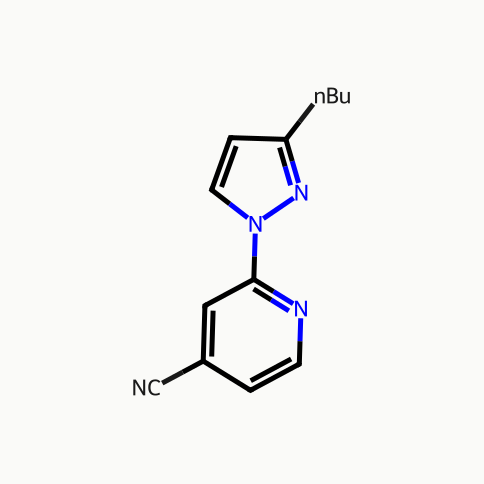 CCCCc1ccn(-c2cc(C#N)ccn2)n1